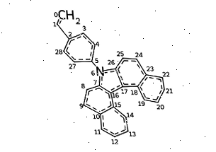 C=Cc1ccc(-n2c3ccc4ccccc4c3c3c4ccccc4ccc32)cc1